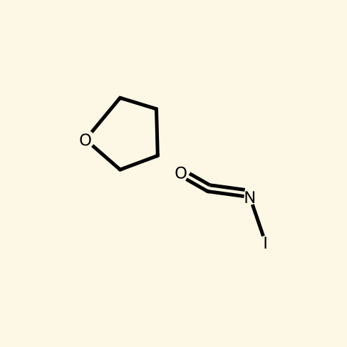 C1CCOC1.O=C=NI